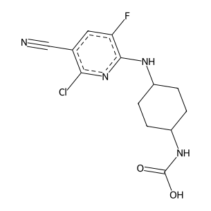 N#Cc1cc(F)c(NC2CCC(NC(=O)O)CC2)nc1Cl